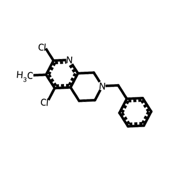 Cc1c(Cl)nc2c(c1Cl)CCN(Cc1ccccc1)C2